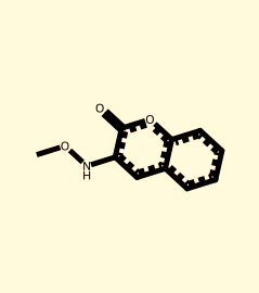 CONc1cc2ccccc2oc1=O